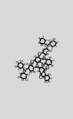 c1ccc(N(c2ccccc2)c2ccc3c(c2)Oc2cc4c5c6c2B3c2cccc3c2N6c2c(cc6oc7ccccc7c6c2O3)B5c2ccc(N(c3ccccc3)c3ccccc3)cc2O4)cc1